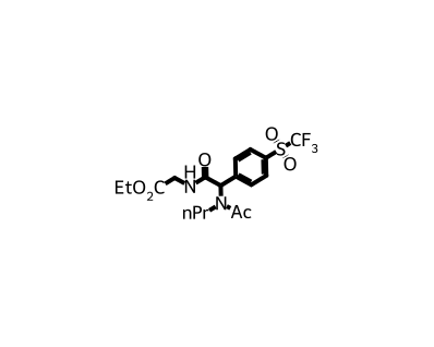 CCCN(C(C)=O)C(C(=O)NCC(=O)OCC)c1ccc(S(=O)(=O)C(F)(F)F)cc1